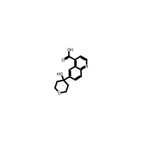 O=C(O)c1ccnc2ccc(C3(O)CCOCC3)cc12